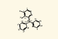 Cc1cccc([Se+](c2ccccc2)c2ccccc2)c1C